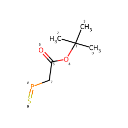 CC(C)(C)OC(=O)CP=S